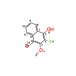 COc1c(F)c(O)c2ccccc2c1Br